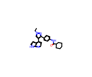 CCn1cc(-c2ccnc3[nH]ccc23)c(-c2ccc(NC(=O)C3CCCCC3)cc2)n1